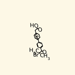 CC(C)(Br)C(=O)c1ccc(C23CCC(CC(=O)O)(CC2)CC3)cc1